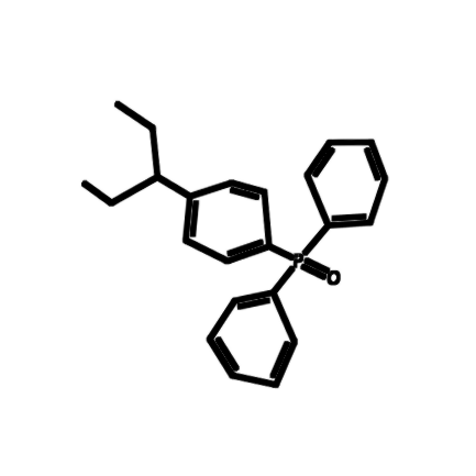 CCC(CC)c1ccc(P(=O)(c2ccccc2)c2ccccc2)cc1